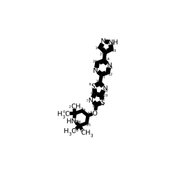 CC1(C)CC(Oc2nc3sc(-c4cnc(-c5cn[nH]c5)cn4)nc3s2)CC(C)(C)N1